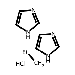 CCC.Cl.c1c[nH]cn1.c1c[nH]cn1